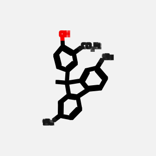 CCOC(=O)c1cc(C2(C)c3cc(C(C)(C)C)ccc3-c3ccc(C(C)(C)C)cc32)ccc1O